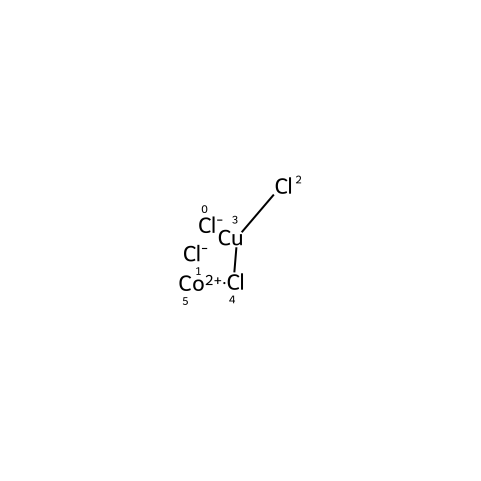 [Cl-].[Cl-].[Cl][Cu][Cl].[Co+2]